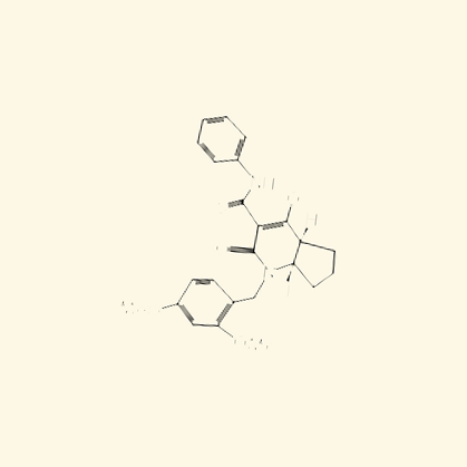 COc1ccc(CN2C(=O)C(C(=S)Nc3ccccc3)=C(O)[C@@H]3CCC[C@@H]32)c(OC)c1